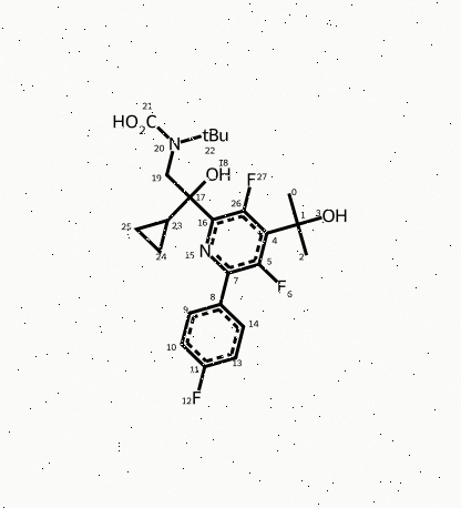 CC(C)(O)c1c(F)c(-c2ccc(F)cc2)nc(C(O)(CN(C(=O)O)C(C)(C)C)C2CC2)c1F